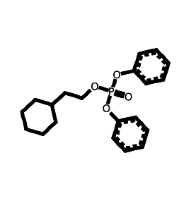 O=P(OCCC1CCCCC1)(Oc1ccccc1)Oc1ccccc1